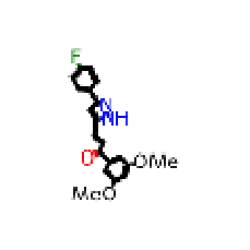 COc1cc(OC)cc(C(=O)/C=C/c2cc(-c3ccc(F)cc3)n[nH]2)c1